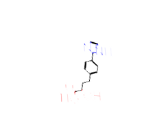 O=C(O)C(O)CCc1ccc(-c2ncc[nH]2)cc1